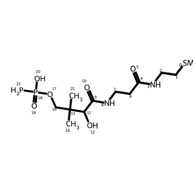 CSCCNC(=O)CCNC(=O)C(O)C(C)(C)COP(=O)(O)P